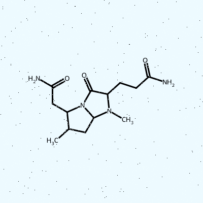 CC1CC2N(C)C(CCC(N)=O)C(=O)N2C1CC(N)=O